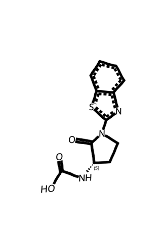 O=C(O)N[C@H]1CCN(c2nc3ccccc3s2)C1=O